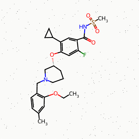 CCOc1cc(C)ccc1CN1CCC[C@@H](Oc2cc(F)c(C(=O)NS(C)(=O)=O)cc2C2CC2)C1